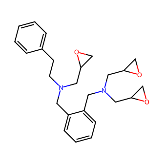 c1ccc(CCN(Cc2ccccc2CN(CC2CO2)CC2CO2)CC2CO2)cc1